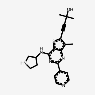 Cc1c(C#CC(C)(C)O)sc2c(NC3CCNC3)nc(-c3ccncc3)nc12